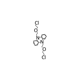 ClCCOCCN1c2ccccc2N(CCOCCCl)c2ccccc21